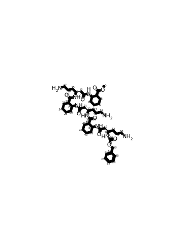 COC(=O)C1CCCCC1NC(=O)C[C@@H](CCCN)NC(=O)C1CCCCC1NC(=O)C[C@@H](CCCN)NC(=O)C1CCCCC1NC(=O)C[C@@H](CCCN)NC(=O)OCc1ccccc1